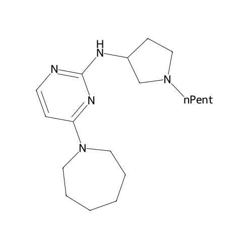 CCCCCN1CCC(Nc2nccc(N3CCCCCC3)n2)C1